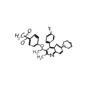 Cc1nc2ccc(N3CCCCC3)cc2c(-c2ccc(F)cc2)c1C(C)Oc1ccc(S(C)(=O)=O)cc1